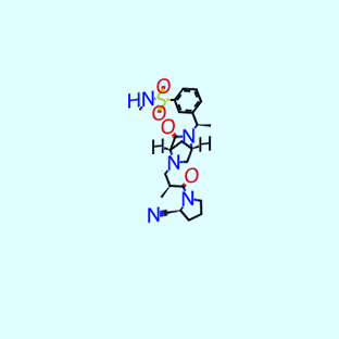 CNS(=O)(=O)c1cccc([C@@H](C)N2C(=O)[C@@H]3C[C@H]2CN3C[C@H](C)C(=O)N2CCC[C@H]2C#N)c1